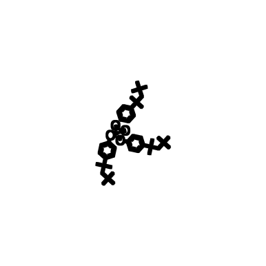 CC(C)(C)CC(C)(C)c1ccc(OP(=O)(Oc2ccc(C(C)(C)CC(C)(C)C)cc2)Oc2ccc(C(C)(C)CC(C)(C)C)cc2)cc1